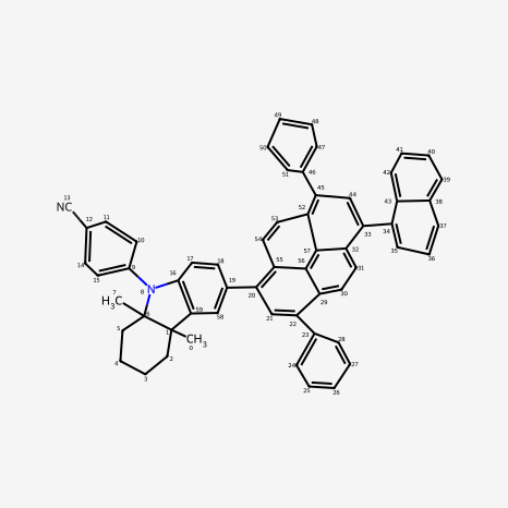 CC12CCCCC1(C)N(c1ccc(C#N)cc1)c1ccc(-c3cc(-c4ccccc4)c4ccc5c(-c6cccc7ccccc67)cc(-c6ccccc6)c6ccc3c4c65)cc12